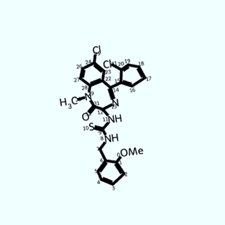 COc1ccccc1CNC(=S)NC1N=C(c2ccccc2Cl)c2cc(Cl)ccc2N(C)C1=O